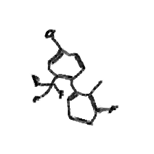 Cc1c(F)[c]ccc1-c1ccc(Cl)cc1C(F)(F)F